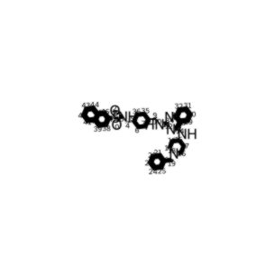 O=S(=O)(NC[C@H]1CC[C@H](CNc2nc(NC3CCN(Cc4ccccc4)CC3)c3ccccc3n2)CC1)c1ccc2ccccc2c1